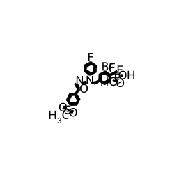 CS(=O)(=O)c1ccc(-c2cnc(N(Cc3ccc(C(F)(F)P(=O)(O)O)c(Br)c3)c3ccc(F)cc3)o2)cc1